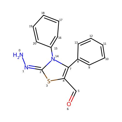 NN=c1sc(C=O)c(-c2ccccc2)n1-c1ccccc1